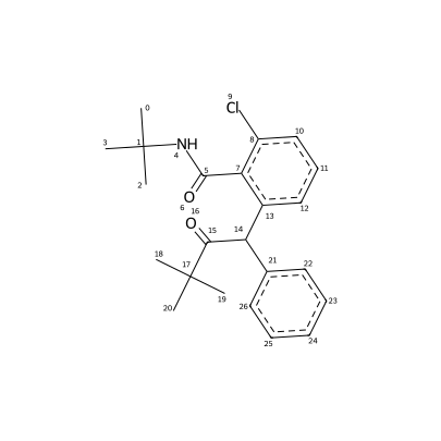 CC(C)(C)NC(=O)c1c(Cl)cccc1C(C(=O)C(C)(C)C)c1ccccc1